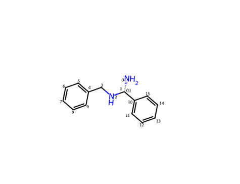 N[C@@H](NCc1ccccc1)c1ccccc1